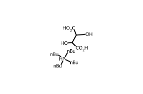 CCCC[PH](CCCC)(CCCC)CCCC.O=C(O)C(O)C(O)C(=O)O